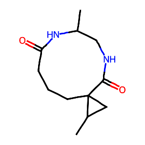 CC1CNC(=O)C2(CCCC(=O)N1)CC2C